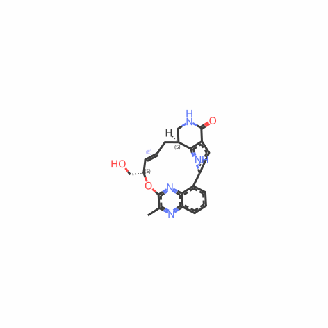 Cc1nc2cccc3c2nc1O[C@H](CO)/C=C/C[C@H]1CNC(=O)c2cc-3[nH]c21